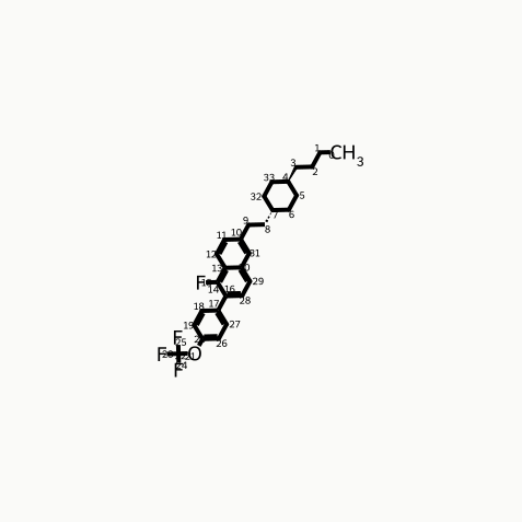 CCCC[C@H]1CC[C@H](CCc2ccc3c(F)c(-c4ccc(OC(F)(F)F)cc4)ccc3c2)CC1